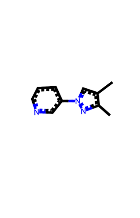 Cc1cn(-c2cccnc2)nc1C